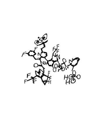 CN(C(=O)N(c1nn(CC(F)(F)F)c2c(-c3ccc(CCC(C)(C)S(C)(=O)=O)nc3[C@H](Cc3cc(F)cc(F)c3)NC(=O)Cn3nc(C(F)(F)F)c4c3C(F)(F)[C@@H]3CC43)ccc(Cl)c12)S(C)(=O)=O)c1ncccc1COP(=O)(O)O